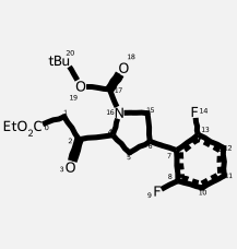 CCOC(=O)CC(=O)C1CC(c2c(F)cccc2F)CN1C(=O)OC(C)(C)C